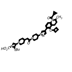 CC1CCc2c(ccc(-c3cnn(C4CCN(C(=O)CC5CCN(C6CN(C(=O)O)C6C(C)(C)C)CC5)CC4)c3)c2OC2CCC2)N1C(=O)C1CC1